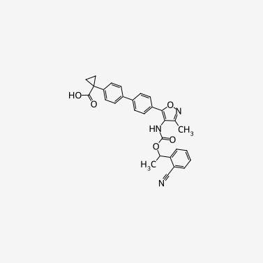 Cc1noc(-c2ccc(-c3ccc(C4(C(=O)O)CC4)cc3)cc2)c1NC(=O)OC(C)c1ccccc1C#N